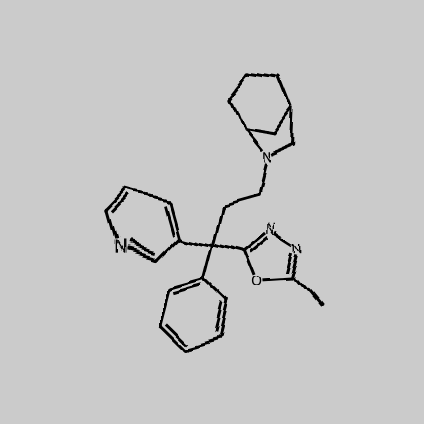 Cc1nnc(C(CCN2CC3CCCC2C3)(c2ccccc2)c2cccnc2)o1